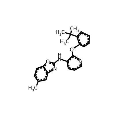 Cc1ccc2oc(Nc3cccnc3Oc3ccccc3C(C)(C)C)nc2c1